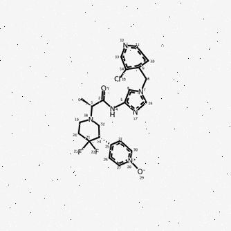 C[C@@H](C(=O)Nc1cn(Cc2ccncc2Cl)cn1)N1CCC(F)(F)[C@@H](c2cc[n+]([O-])cc2)C1